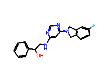 OC(CNc1cc(N2Cc3ccc(F)cc3C2)ncn1)c1ccccc1